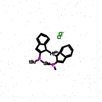 CP(C)C1=Cc2ccccc2[CH]1[Hf+2][CH]1C(P(C(C)(C)C)C(C)(C)C)=Cc2ccccc21.[Cl-].[Cl-]